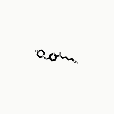 C=CCCCNc1ccc(SN2CCNCC2)cn1